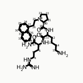 N=C(N)NCCCC(NC(=O)C(CCCCN)NC(=O)[C@@H]1CCCN1CCc1cccc2ccccc12)C(N)=O